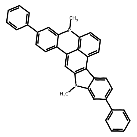 CP1c2cc(-c3ccccc3)ccc2-c2cc3c(c4cccc1c24)c1ccc(-c2ccccc2)cc1p3C